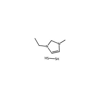 CCN1C=CN(C)C1.SS